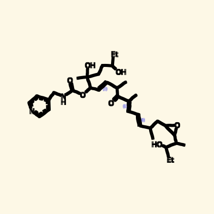 CCC(O)CCC(C)(O)C(/C=C/C(C)C(=O)/C(C)=C/C=C/C(C)CC1OC1C(C)C(O)CC)OC(=O)NCc1ccncc1